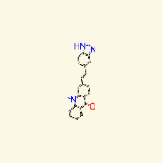 Cn1c2ccccc2c(=O)c2ccc(/C=C/c3ccc4[nH]cnc4c3)cc21